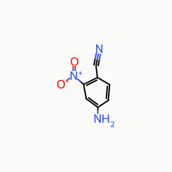 N#Cc1ccc(N)cc1[N+](=O)[O-]